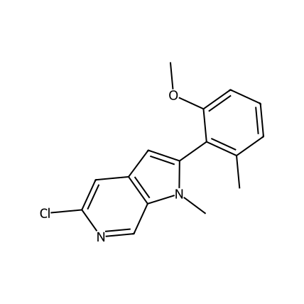 COc1cccc(C)c1-c1cc2cc(Cl)ncc2n1C